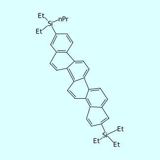 CCC[Si](CC)(CC)c1ccc2c(ccc3c2ccc2c4ccc5cc([Si](CC)(CC)CC)ccc5c4ccc32)c1